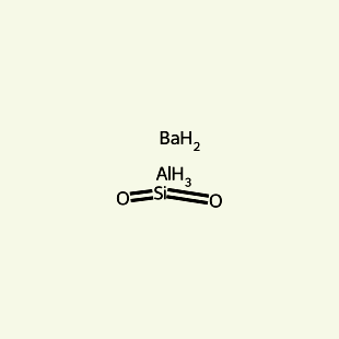 O=[Si]=O.[AlH3].[BaH2]